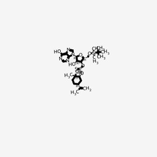 C=C(C)[C@@H]1CC[C@](C)(S)[C@@H](O[PH](=S)O[C@H]2[C@@H](O)[C@H](n3cnc4c(O)ncnc43)O[C@@H]2CO[Si](C)(C)C(C)(C)C)C1